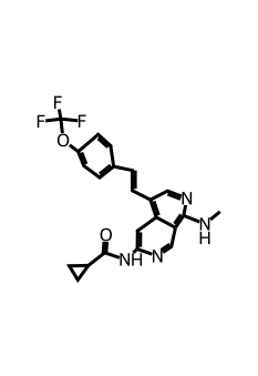 CNc1ncc(C=Cc2ccc(OC(F)(F)F)cc2)c2cc(NC(=O)C3CC3)ncc12